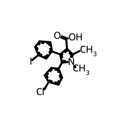 Cc1c(C(=O)O)c(-c2cccc(I)c2)c(-c2ccc(Cl)cc2)n1C